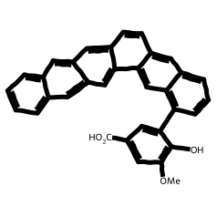 COc1cc(C(=O)O)cc(-c2cccc3cc4ccc5cc6cc7ccccc7cc6cc5c4cc23)c1O